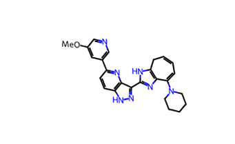 COc1cncc(-c2ccc3[nH]nc(-c4nc5c([nH]4)CC=CC=C5N4CCCCC4)c3n2)c1